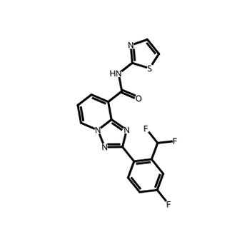 O=C(Nc1nccs1)c1cccn2nc(-c3ccc(F)cc3C(F)F)nc12